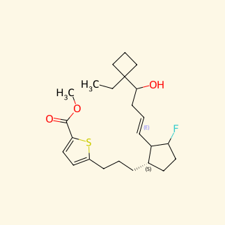 CCC1(C(O)C/C=C/C2C(F)CC[C@@H]2CCCc2ccc(C(=O)OC)s2)CCC1